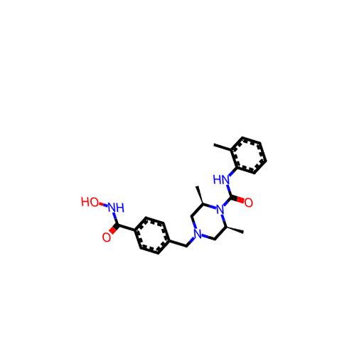 Cc1ccccc1NC(=O)N1[C@H](C)CN(Cc2ccc(C(=O)NO)cc2)C[C@@H]1C